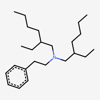 CCCCC(CC)CN(CCc1ccccc1)CC(CC)CCCC